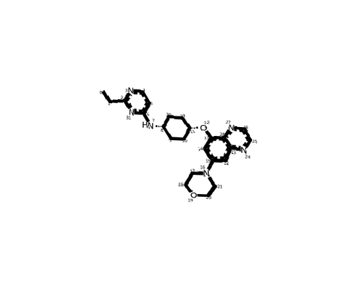 CCc1nccc(N[C@H]2CC[C@@H](Oc3cc(N4CCOCC4)cc4nccnc34)CC2)n1